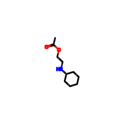 CC(=O)OCCNC1CCCCC1